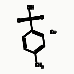 Cc1ccc(S(=O)(=O)O)cc1.[Cu]